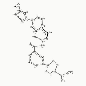 CN(C)C1CCN(c2cc(C(=O)Nc3ncc4ccc(-c5cnn(C)c5)cc4n3)ccn2)CC1